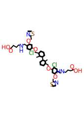 Cc1c(COc2cc(OCc3nccs3)c(CNCCCC(=O)O)cc2Cl)cccc1-c1cccc(COc2cc(OCc3nccs3)c(CNCCCC(=O)O)cc2Cl)c1C